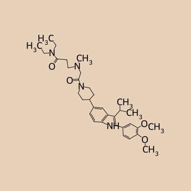 CCN(CC)C(=O)CCN(C)CC(=O)N1CCC(c2ccc3[nH]c(-c4ccc(OC)c(OC)c4)c(C(C)C)c3c2)CC1